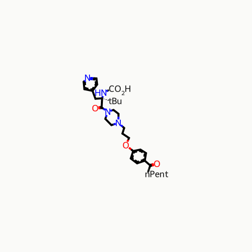 CCCCCC(=O)c1ccc(OCCCN2CCN(C(=O)[C@@](Cc3ccncc3)(NC(=O)O)C(C)(C)C)CC2)cc1